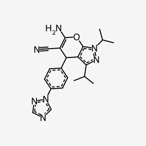 CC(C)c1nn(C(C)C)c2c1C(c1ccc(-n3cncn3)cc1)C(C#N)=C(N)O2